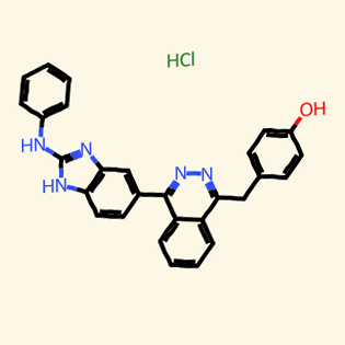 Cl.Oc1ccc(Cc2nnc(-c3ccc4[nH]c(Nc5ccccc5)nc4c3)c3ccccc23)cc1